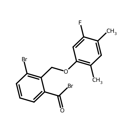 Cc1cc(C)c(OCc2c(Br)cccc2C(=O)Br)cc1F